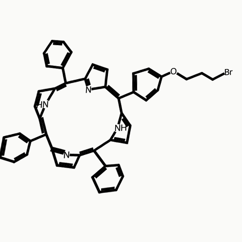 BrCCCOc1ccc(-c2c3nc(c(-c4ccccc4)c4ccc([nH]4)c(-c4ccccc4)c4nc(c(-c5ccccc5)c5ccc2[nH]5)C=C4)C=C3)cc1